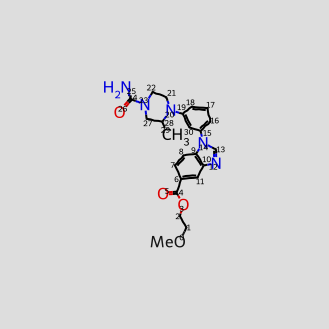 COCCOC(=O)c1ccc2c(c1)ncn2-c1cccc(N2CCN(C(N)=O)CC2C)c1